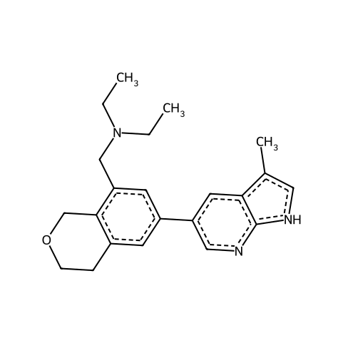 CCN(CC)Cc1cc(-c2cnc3[nH]cc(C)c3c2)cc2c1COCC2